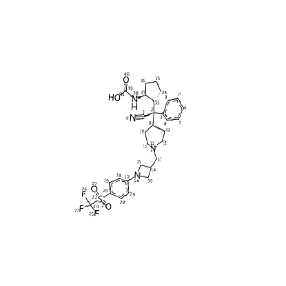 N#C[C@@](c1ccccc1)(C1CCN(CC2CN(c3ccc(S(=O)(=O)C(F)(F)F)cc3)C2)CC1)[C@H]1CCC[C@@H]1NC(=O)O